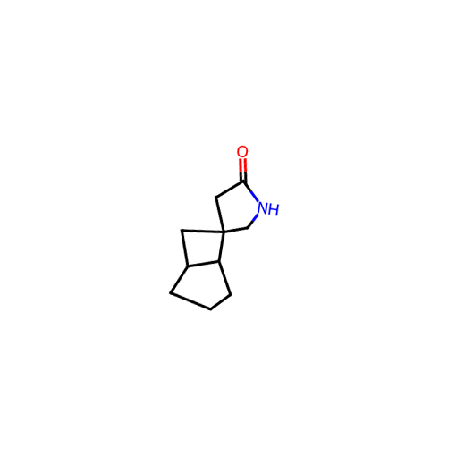 O=C1CC2(CN1)CC1CCCC12